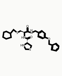 O=C(N[C@@H](CSCC1CCCCC1)C(=O)NCc1ccc(OCc2ccccc2)cc1)[C@@H]1CSCN1